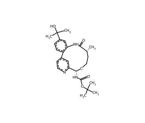 C[C@@H]1CCC[C@H](NC(=O)OC(C)(C)C)c2cc(ccn2)-c2ccc(C(C)(C)O)cc2NC1=O